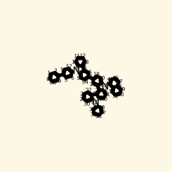 c1ccc(-c2ccc(-n3c4ccccc4c4cc(-c5ccc6c(c5)c5c7c8ccccc8n(-c8ccccc8)c7ccc5n6-c5cccc6ccccc56)ccc43)cc2)cc1